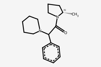 C[C@H]1CCCN1C(=O)C(c1ccccc1)N1CCCCC1